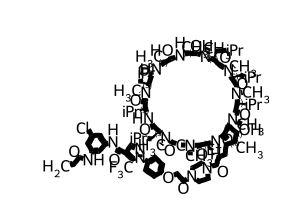 C=CC(=O)Nc1cc(Cl)cc(NC(=O)c2cnn(-c3ccc(OCC(=O)N4CCN(C(=O)CCC[C@@H](C)[C@@H](O)[C@H]5C(=O)N[C@@H](CC)C(=O)N(C)CC(=O)N(C)[C@@H](CC(C)C)C(=O)N[C@@H](C(C)C)C(=O)N(C)[C@@H](CC(C)C)C(=O)N[C@@H](C)C(O)N[C@H](C)C(O)N(C)[C@@H](CC(C)C)C(=O)N(C)[C@@H](CC(C)C)C(=O)N(C)[C@@H](C(C)C)C(=O)N5C)CC4)cc3)c2C(F)(F)F)c1